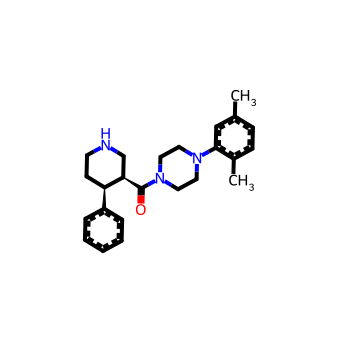 Cc1ccc(C)c(N2CCN(C(=O)[C@@H]3CNCC[C@@H]3c3ccccc3)CC2)c1